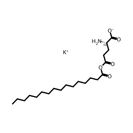 CCCCCCCCCCCCCCCC(=O)OC(=O)CC[C@H](N)C(=O)[O-].[K+]